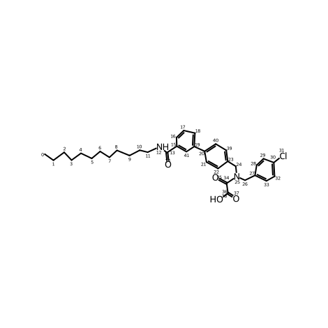 CCCCCCCCCCCCNC(=O)c1cccc(-c2ccc(CN(Cc3ccc(Cl)cc3)C(=O)C(=O)O)cc2)c1